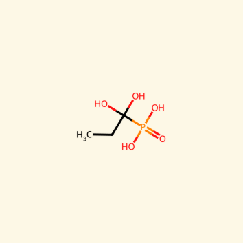 CCC(O)(O)P(=O)(O)O